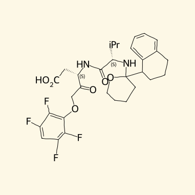 CC(C)[C@H](NC1(C2CCCc3ccccc32)CCCCO1)C(=O)N[C@@H](CC(=O)O)C(=O)COc1c(F)c(F)cc(F)c1F